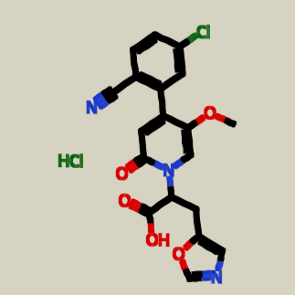 COc1cn(C(Cc2cnco2)C(=O)O)c(=O)cc1-c1cc(Cl)ccc1C#N.Cl